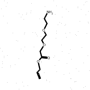 C=CCOC(=O)COCCOCCN